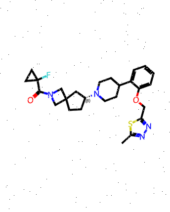 Cc1nnc(COc2ccccc2C2CCN([C@@H]3CCC4(C3)CN(C(=O)C3(F)CC3)C4)CC2)s1